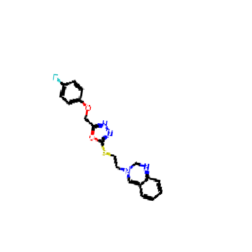 Fc1ccc(OCc2nnc(SCCN3C=c4ccccc4=NC3)o2)cc1